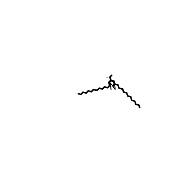 C[CH]c1cc(CCCCCCCCCCCC)nc(CCCCCCCCCCCC)c1